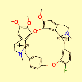 COc1cc2c3cc1Oc1c(OC)c(OC)cc4c1[C@H](Cc1ccc(cc1)Oc1cc(ccc1F)C[C@H]3N(C)CC2)N(C)CC4